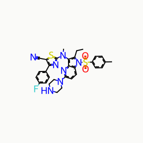 CCc1c(N(C)c2nc(-c3ccc(F)cc3)c(C#N)s2)c2nc(N3CCNCC3)ccc2n1S(=O)(=O)c1ccc(C)cc1